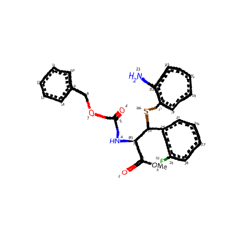 COC(=O)[C@@H](NC(=O)OCc1ccccc1)C(Sc1ccccc1N)c1ccccc1F